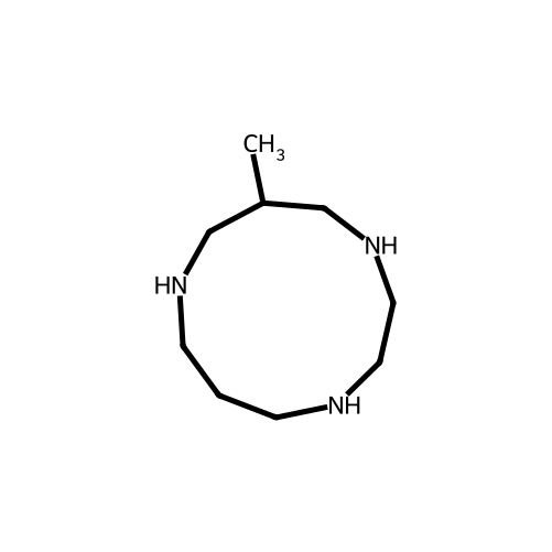 CC1CNCCCNCCNC1